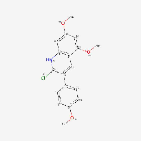 COc1ccc(C2=Cc3c(cc(OC)cc3OC)NC2Cl)cc1